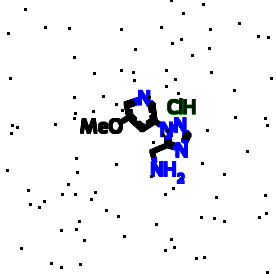 COc1cncc(-n2ncnc2CN)c1.Cl